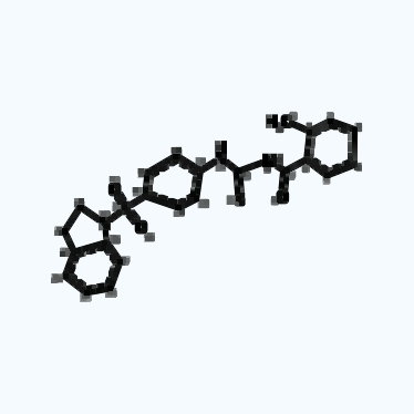 Cc1ccccc1C(=O)NC(=S)Nc1ccc(S(=O)(=O)N2CCc3ccccc32)cc1